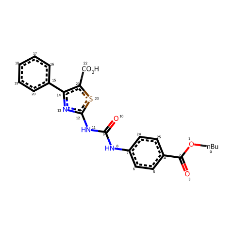 CCCCOC(=O)c1ccc(NC(=O)Nc2nc(-c3ccccc3)c(C(=O)O)s2)cc1